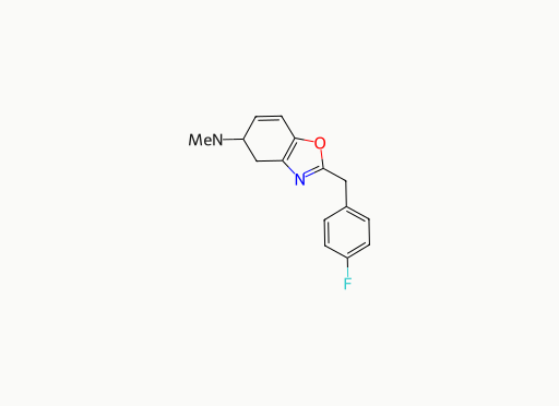 CNC1C=Cc2oc(Cc3ccc(F)cc3)nc2C1